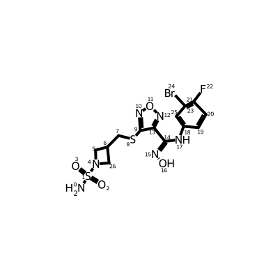 NS(=O)(=O)N1CC(CSc2nonc2/C(=N/O)Nc2ccc(F)c(Br)c2)C1